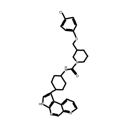 O=C(NC1CCC(c2c[nH]c3ncc4ncccc4c23)CC1)N1CCCC(COc2ccc(Cl)cc2)C1